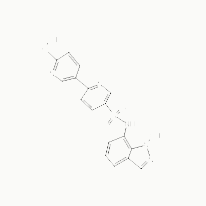 COc1ccc(-c2ccc(S(=O)(=O)Nc3cccc4cnn(C)c34)cn2)cn1